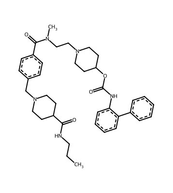 CCCNC(=O)C1CCN(Cc2ccc(C(=O)N(C)CCN3CCC(OC(=O)Nc4ccccc4-c4ccccc4)CC3)cc2)CC1